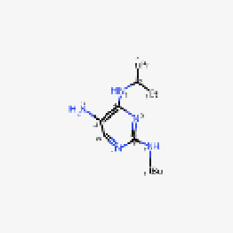 CCCC(CC)Nc1nc(NC(C)(C)C)ncc1N